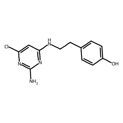 Nc1nc(Cl)cc(NCCc2ccc(O)cc2)n1